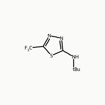 CC(C)(C)Nc1nnc(C(F)(F)F)s1